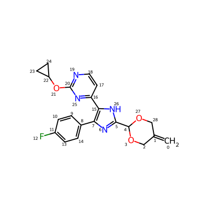 C=C1COC(c2nc(-c3ccc(F)cc3)c(-c3ccnc(OC4CC4)n3)[nH]2)OC1